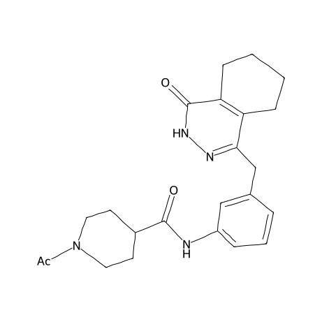 CC(=O)N1CCC(C(=O)Nc2cccc(Cc3n[nH]c(=O)c4c3CCCC4)c2)CC1